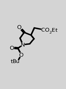 CCOC(=O)CC1CCN(C(=O)OC(C)(C)C)CC1=O